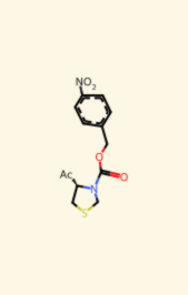 CC(=O)[C@@H]1CSCN1C(=O)OCc1ccc([N+](=O)[O-])cc1